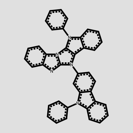 c1ccc(-n2c3ccccc3c3ccc(-n4c5c6ccccc6n(-c6ccccc6)c5n5c6ccccc6nc45)cc32)cc1